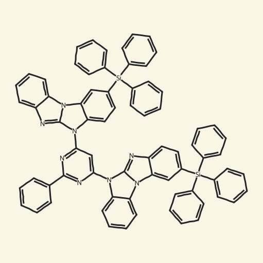 c1ccc(-c2nc(-n3c4ccccc4n4c5cc([Si](c6ccccc6)(c6ccccc6)c6ccccc6)ccc5nc34)cc(-n3c4ccc([Si](c5ccccc5)(c5ccccc5)c5ccccc5)cc4n4c5ccccc5nc34)n2)cc1